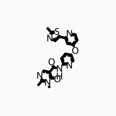 Cc1ncc(-c2cc(Oc3ccc(NC(=O)c4cnc(C)n(C)c4=O)nc3)ccn2)s1